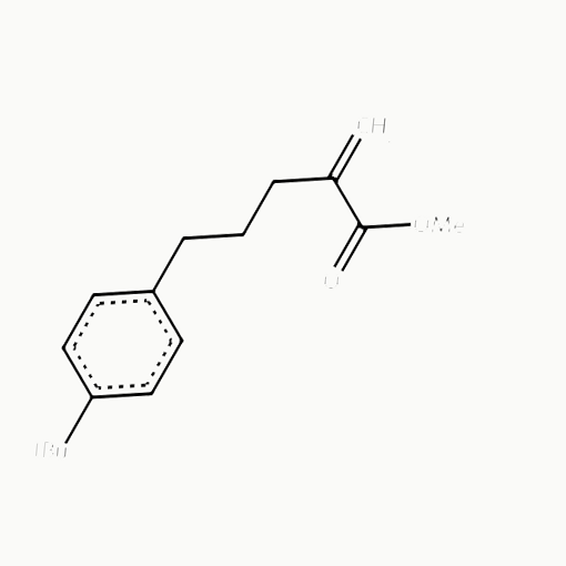 C=C(CCCc1ccc(C(C)(C)C)cc1)C(=O)OC